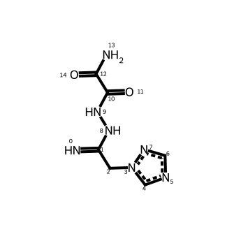 N=C(Cn1cncn1)NNC(=O)C(N)=O